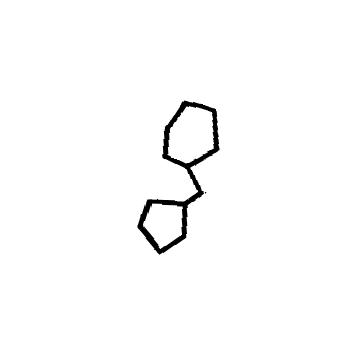 [CH](C1CCCCC1)C1CCCC1